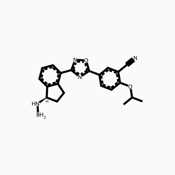 BN[C@@H]1CCc2c(-c3noc(-c4ccc(OC(C)C)c(C#N)c4)n3)cccc21